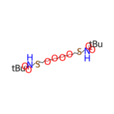 CC(C)(C)OC(=O)NCCSCCCOCCOCCOCCOCCCSCCNC(=O)OC(C)(C)C